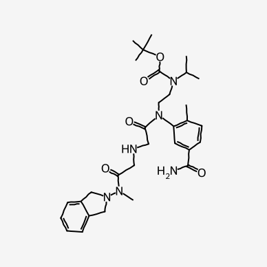 Cc1ccc(C(N)=O)cc1N(CCN(C(=O)OC(C)(C)C)C(C)C)C(=O)CNCC(=O)N(C)N1Cc2ccccc2C1